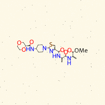 C=C(NC(=O)c1csc(N2CCC(NC(=O)[C@@H]3COCCO3)CC2)n1)C(=O)NC(=C)C(=O)OC